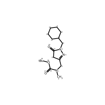 CN(CC1=NN(CC2CCCCC2)C(=O)C1)C(=O)OC(C)(C)C